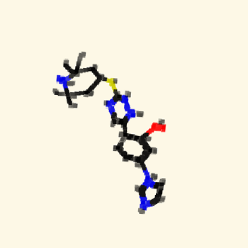 CC1(C)CC(Sc2ncc(-c3ccc(-n4ccnc4)cc3O)nn2)CC(C)(C)N1